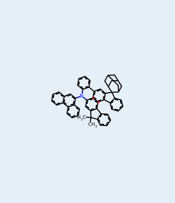 CC1(C)c2ccccc2-c2ccc(N(c3ccccc3-c3ccc4c(c3)C3(c5ccccc5-4)C4CC5CC(C4)CC3C5)c3cc4ccccc4c4ccccc34)cc21